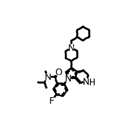 CC(C)N(C)C(=O)c1cc(F)ccc1-n1cc(C2CCN(CC3CCCCC3)CC2)c2c1=CNCC=2